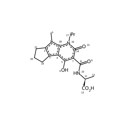 Cc1c2c(c3c(O)c(C(=O)N[C@@H](C)C(=O)O)c(=O)n(C(C)C)n13)CCC2